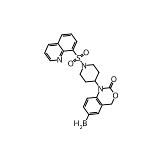 Bc1ccc2c(c1)COC(=O)N2C1CCN(S(=O)(=O)c2cccc3cccnc23)CC1